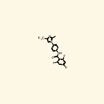 Cc1nc(C(F)(F)F)cn1-c1ccc(NC(=O)c2c(F)cc(F)cc2F)cc1